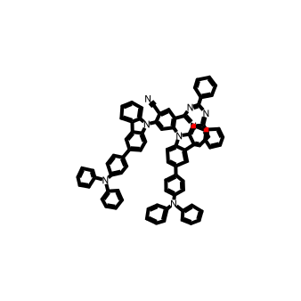 N#Cc1cc(-c2nc(-c3ccccc3)nc(-c3ccccc3)n2)c(-n2c3ccccc3c3cc(-c4ccc(N(c5ccccc5)c5ccccc5)cc4)ccc32)cc1-n1c2ccccc2c2cc(-c3ccc(N(c4ccccc4)c4ccccc4)cc3)ccc21